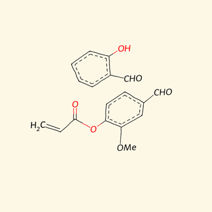 C=CC(=O)Oc1ccc(C=O)cc1OC.O=Cc1ccccc1O